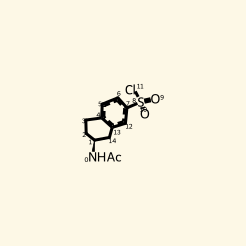 CC(=O)N[C@H]1CCc2ccc(S(=O)(=O)Cl)cc2C1